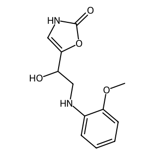 COc1ccccc1NCC(O)c1c[nH]c(=O)o1